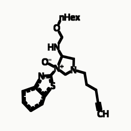 C#CCCCN1CC(NCOCCCCCC)[N+]([O-])(c2nc3ccccc3s2)C1